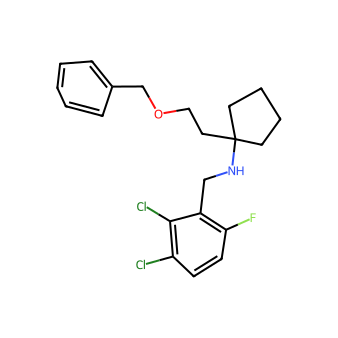 Fc1ccc(Cl)c(Cl)c1CNC1(CCOCc2ccccc2)CCCC1